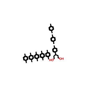 Cc1ccc(C(CCO)CCO)cc1.Cc1ccc(C)cc1.Cc1ccc(C)cc1.Cc1ccc(C)cc1.Cc1ccc(C)cc1.Cc1ccc(C)cc1.Cc1ccc(C)cc1.Cc1ccc(C)cc1